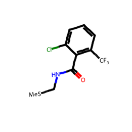 CSCNC(=O)c1c(Cl)cccc1C(F)(F)F